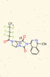 N#Cc1ncc(N2C(=O)[C@@H]3C4CC(CN4C(=O)C(F)(F)C(F)(F)C(F)(F)C(F)(F)F)N3C2=O)c2ccccc12